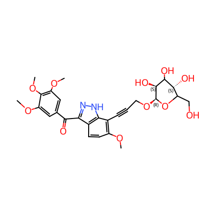 COc1cc(C(=O)c2n[nH]c3c(C#CCO[C@@H]4OC(CO)[C@@H](O)C(O)[C@@H]4O)c(OC)ccc23)cc(OC)c1OC